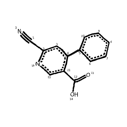 N#Cc1cc(-c2ccccc2)c(C(=O)O)cn1